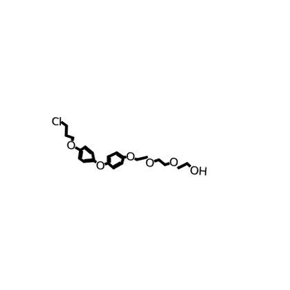 OCCOCCOCCOc1ccc(Oc2ccc(OCCCCl)cc2)cc1